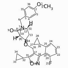 COc1ccc(CN2C(=O)[C@@H]3C[C@H]2C[C@H]3OCc2c(-c3c(F)cccc3C3CC3)noc2C2CC2)cc1